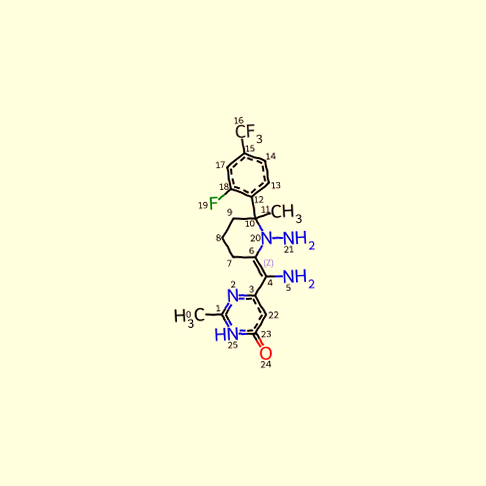 Cc1nc(/C(N)=C2\CCCC(C)(c3ccc(C(F)(F)F)cc3F)N2N)cc(=O)[nH]1